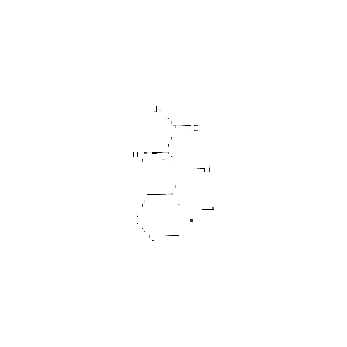 C[C@H]1COCCN1C(=O)[C@@H](N)C(N)=O